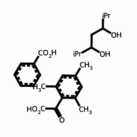 CC(C)C(O)CC(O)C(C)C.Cc1cc(C)c(C(=O)C(=O)O)c(C)c1.O=C(O)c1ccccc1